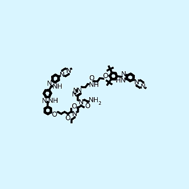 CCCN(CC(=O)C(C)N(CC(N)=O)Cc1cn(CCCNC(=O)CCCOc2c(C(C)(C)C)cc(-c3nc4ccc(N5CCN(C)CC5)cc4[nH]3)cc2C(C)(C)C)nn1)C(C)C(=O)CCCOc1cccc(-c2nc3ccc(-c4nc5ccc(N6CCN(C)CC6)cc5[nH]4)cc3[nH]2)c1